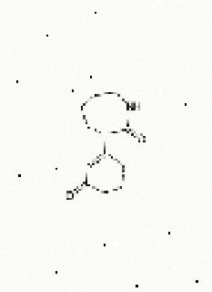 O=C1C=C(C2CCCCNC2=O)CCC1